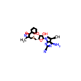 C#Cc1cn([C@@H]2O[C@H](CSCc3c(C)noc3-c3ccccc3)[C@@H](O)[C@H]2O)c2nc(C#N)nc(N)c12